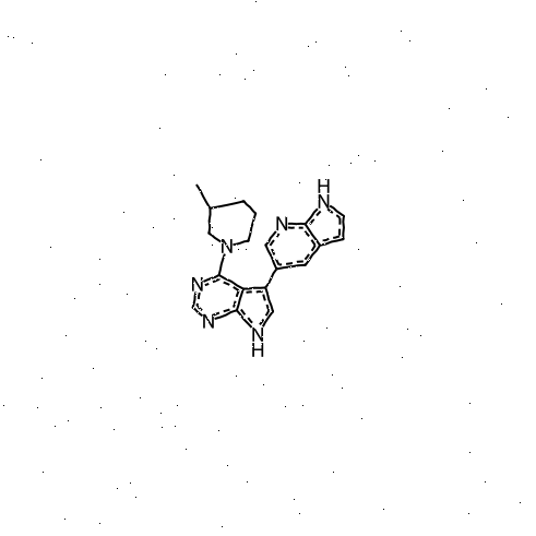 CC1CCCN(c2ncnc3[nH]cc(-c4cnc5[nH]ccc5c4)c23)C1